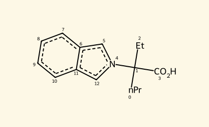 CCCC(CC)(C(=O)O)n1cc2ccccc2c1